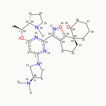 C[C@H](Oc1cc(N2CC[C@@H](N(C)C)C2)nc(-c2noc3c2CCC[C@@]32CCCCC2=O)n1)[C@@H]1CCCN1C